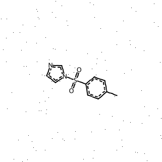 Cc1ccc(S(=O)(=O)n2c[c]nc2)cc1